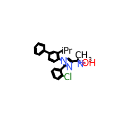 C/C(=N\O)c1cn(-c2ccc(-c3ccccc3)cc2C(C)C)c(-c2ccccc2Cl)n1